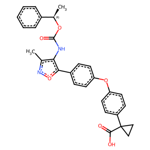 Cc1noc(-c2ccc(Oc3ccc(C4(C(=O)O)CC4)cc3)cc2)c1NC(=O)O[C@H](C)c1ccccc1